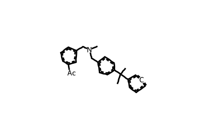 CC(=O)c1cccc(CN(C)Cc2ccc(C(C)(C)c3ccccc3)cc2)c1